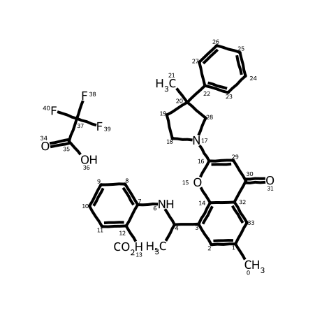 Cc1cc(C(C)Nc2ccccc2C(=O)O)c2oc(N3CCC(C)(c4ccccc4)C3)cc(=O)c2c1.O=C(O)C(F)(F)F